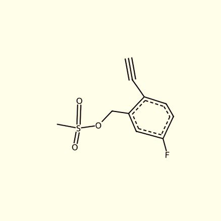 C#Cc1ccc(F)cc1COS(C)(=O)=O